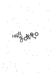 Cn1c(-c2ccc(-c3ccccc3)n2CC2CC2)nc2cc(C(=O)N3CC[C@H]4CCNC4C3)ccc21